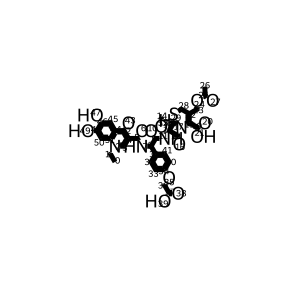 CCn1cc(C(=O)NC(C(=O)N[C@]2(OC)C(=O)N3C(C(=O)O)=C(COC(C)=O)CS[C@H]32)c2ccc(OCC(=O)O)cc2)c(=O)c2cc(O)c(O)cc21